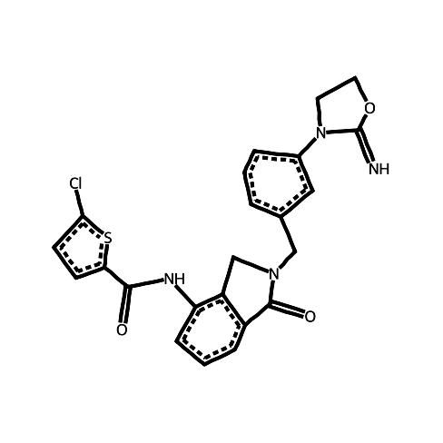 N=C1OCCN1c1cccc(CN2Cc3c(NC(=O)c4ccc(Cl)s4)cccc3C2=O)c1